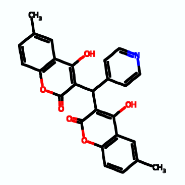 Cc1ccc2oc(=O)c(C(c3ccncc3)c3c(O)c4cc(C)ccc4oc3=O)c(O)c2c1